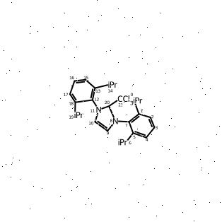 CC(C)c1cccc(C(C)C)c1N1C=CN(c2c(C(C)C)cccc2C(C)C)C1C(Cl)(Cl)Cl